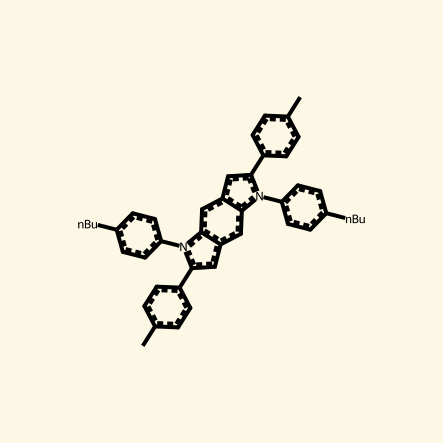 CCCCc1ccc(-n2c(-c3ccc(C)cc3)cc3cc4c(cc(-c5ccc(C)cc5)n4-c4ccc(CCCC)cc4)cc32)cc1